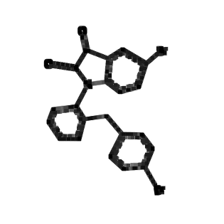 O=C1C(=O)N(c2ccccc2Cc2ccc(Br)cc2)c2ccc(Br)cc21